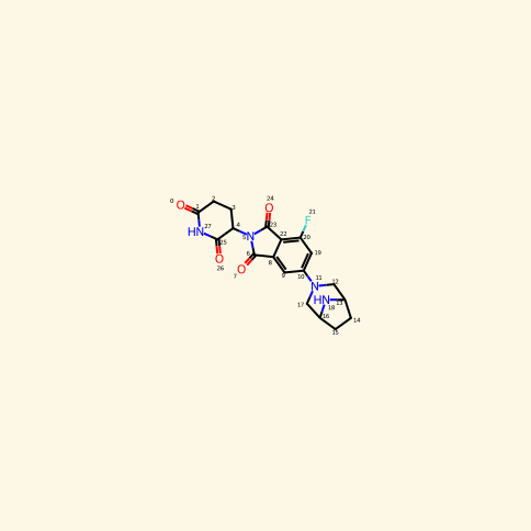 O=C1CCC(N2C(=O)c3cc(N4CC5CCC(C4)N5)cc(F)c3C2=O)C(=O)N1